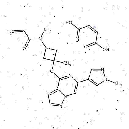 C=CC(=O)N(C)C1CC(C)(Oc2nc(-c3cnn(C)c3)cn3nccc23)C1.O=C(O)/C=C\C(=O)O